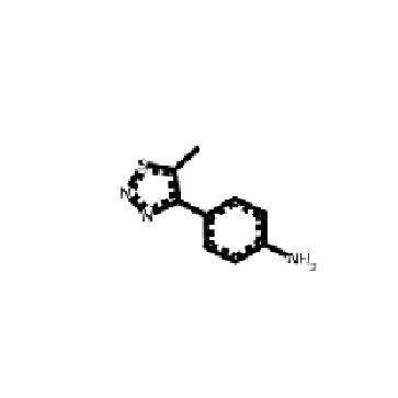 Cc1snnc1-c1ccc(N)cc1